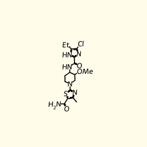 CCc1[nH]c(C(=O)NC2CCN(c3nc(C)c(C(N)=O)s3)CC2OC)nc1Cl